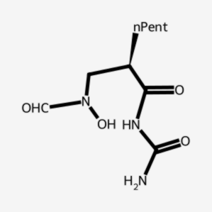 CCCCC[C@H](CN(O)C=O)C(=O)NC(N)=O